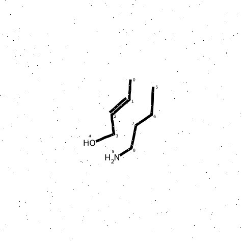 CC=CCO.CCCCN